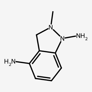 CN1Cc2c(N)cccc2N1N